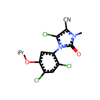 CC(C)Oc1cc(-n2c(Cl)c(C#N)n(C)c2=O)c(Cl)cc1Cl